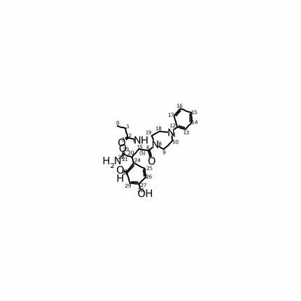 CCC(=O)N[C@H](C(=O)N1CCN(c2ccccc2)CC1)C(C(N)=O)c1ccc(O)cc1O